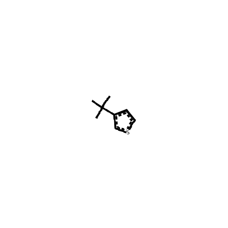 CC(C)(C)c1[c]scc1